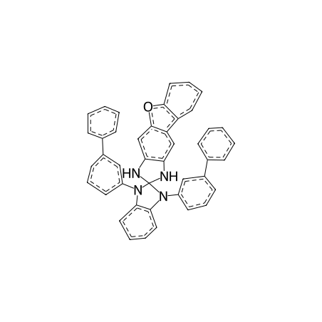 c1ccc(-c2cccc(N3c4ccccc4N(c4cccc(-c5ccccc5)c4)C34Nc3cc5oc6ccccc6c5cc3N4)c2)cc1